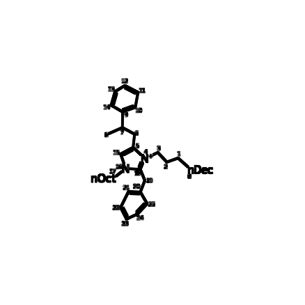 CCCCCCCCCCCCC[n+]1c(CC(C)c2ccccc2)cn(CCCCCCCC)c1Cc1ccccc1